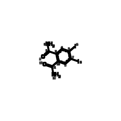 NC(=O)c1cc(I)c(I)cc1C(N)=O